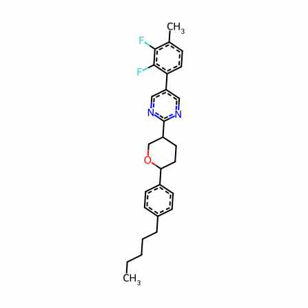 CCCCCc1ccc(C2CCC(c3ncc(-c4ccc(C)c(F)c4F)cn3)CO2)cc1